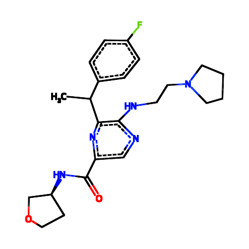 CC(c1ccc(F)cc1)c1nc(C(=O)N[C@H]2CCOC2)cnc1NCCN1CCCC1